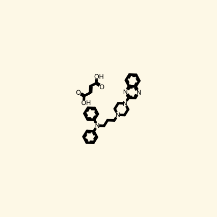 O=C(O)C=CC(=O)O.c1ccc(N(CCCN2CCN(c3cnc4ccccc4n3)CC2)c2ccccc2)cc1